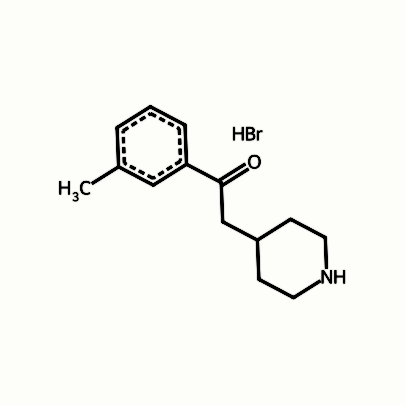 Br.Cc1cccc(C(=O)CC2CCNCC2)c1